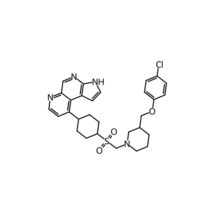 O=S(=O)(CN1CCCC(COc2ccc(Cl)cc2)C1)C1CCC(c2ccnc3cnc4[nH]ccc4c23)CC1